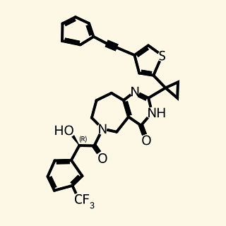 O=C([C@H](O)c1cccc(C(F)(F)F)c1)N1CCCc2nc(C3(c4cc(C#Cc5ccccc5)cs4)CC3)[nH]c(=O)c2C1